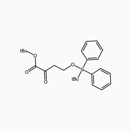 CC(C)(C)OC(=O)C(=O)CCO[Si](c1ccccc1)(c1ccccc1)C(C)(C)C